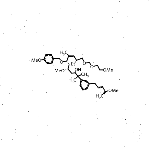 C=C(/C=C/Cc1cccc(C(C)(C)[C@@H](O)C[C@@H](C[C@H](OCc2ccc(OC)cc2)/C(C)=C\[C@@H](CC)COCOCCOC)OC)c1)OC